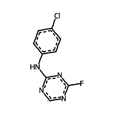 Fc1n[c]nc(Nc2ccc(Cl)cc2)n1